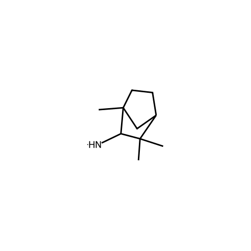 CC12CCC(C1)C(C)(C)C2[NH]